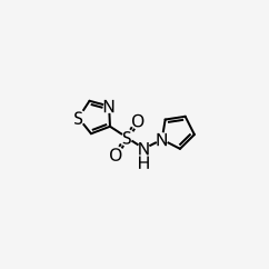 O=S(=O)(Nn1cccc1)c1cscn1